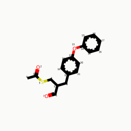 CC(=O)SCC(C=O)Cc1ccc(Oc2ccccc2)cc1